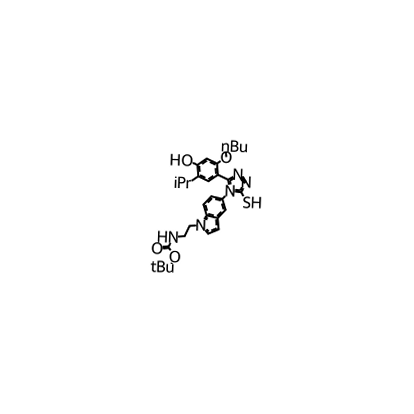 CCCCOc1cc(O)c(C(C)C)cc1-c1nnc(S)n1-c1ccc2c(ccn2CCNC(=O)OC(C)(C)C)c1